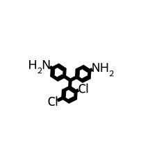 Nc1ccc(C(c2ccc(N)cc2)c2cc(Cl)ccc2Cl)cc1